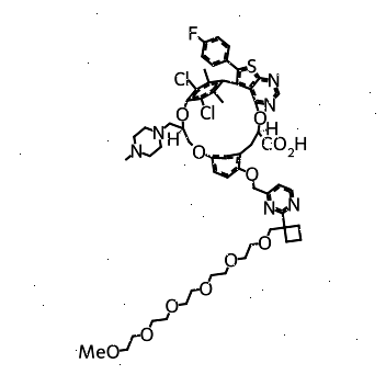 COCCOCCOCCOCCOCCOCC1(c2nccc(COc3ccc4cc3C[C@H](C(=O)O)Oc3ncnc5sc(-c6ccc(F)cc6)c(c35)-c3c(C)c(Cl)c(c(Cl)c3C)O[C@H](CN3CCN(C)CC3)CO4)n2)CCC1